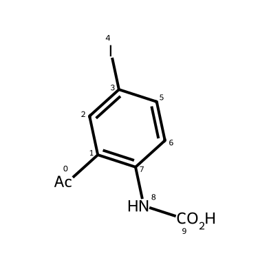 CC(=O)c1cc(I)ccc1NC(=O)O